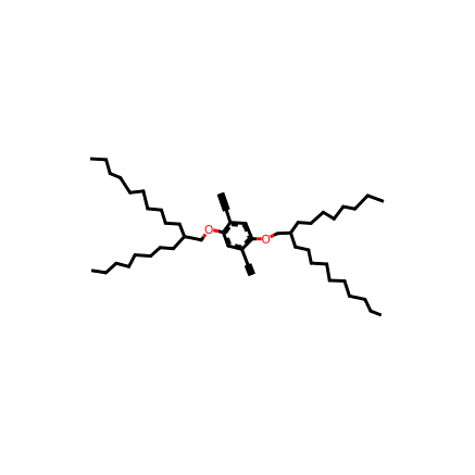 C#Cc1cc(OCC(CCCCCCCC)CCCCCCCCCC)c(C#C)cc1OCC(CCCCCCCC)CCCCCCCCCC